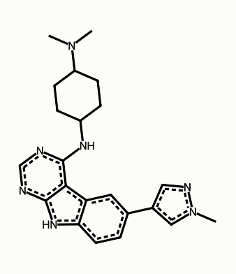 CN(C)C1CCC(Nc2ncnc3[nH]c4ccc(-c5cnn(C)c5)cc4c23)CC1